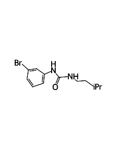 CC(C)CCNC(=O)Nc1cccc(Br)c1